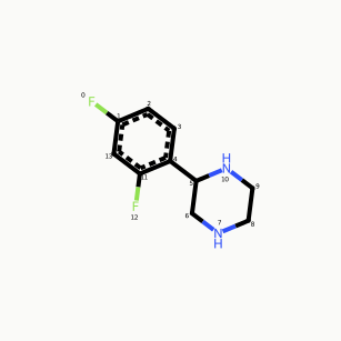 Fc1ccc(C2CNCCN2)c(F)c1